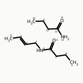 CC=CCNC(=O)CCC.CCCC(N)=O